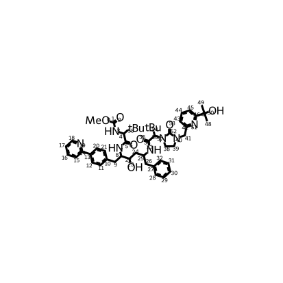 COC(=O)NC(C(=O)NC(Cc1ccc(-c2ccccn2)cc1)C(O)CC(Cc1ccccc1)NC(=O)C(N1CCN(Cc2cccc(C(C)(C)O)n2)C1=O)C(C)(C)C)C(C)(C)C